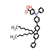 CCCCCCCCC1(CCCCCCCC)c2cc(-c3ccccc3)ccc2-c2ccc(-c3ccc(N(c4ccccc4)c4ccc(C(=O)O)cc4)cc3)cc21